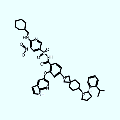 CC(C)c1ccccc1[C@@H]1CCCN1C1CCC2(CC1)CN(c1ccc(C(=O)NS(=O)(=O)c3cnc(NCC4CCCCC4)c([N+](=O)[O-])c3)c(Oc3cnc4[nH]ccc4c3)c1)C2